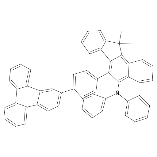 CC1(C)c2ccccc2-c2c(-c3ccc(-c4ccc5c6ccccc6c6ccccc6c5c4)cc3)c(N(c3ccccc3)c3ccccc3)c3ccccc3c21